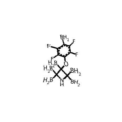 Bc1c(F)c(F)c(OC2(B)C(B)(B)NC2(B)B)c(F)c1F